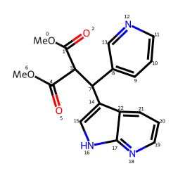 COC(=O)C(C(=O)OC)C(c1cccnc1)c1c[nH]c2ncccc12